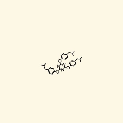 CC(C)Cc1ccc(Oc2nc(Oc3ccc(CC(C)C)cc3)nc(Oc3ccc(CC(C)C)cc3)n2)cc1